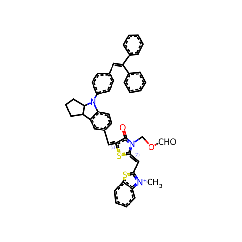 C[n+]1c(/C=c2\s/c(=C/c3ccc4c(c3)C3CCCC3N4c3ccc(C=C(c4ccccc4)c4ccccc4)cc3)c(=O)n2COC=O)sc2ccccc21